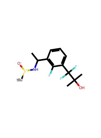 CC(N[S@+]([O-])C(C)(C)C)c1cccc(C(F)(F)C(C)(C)O)c1F